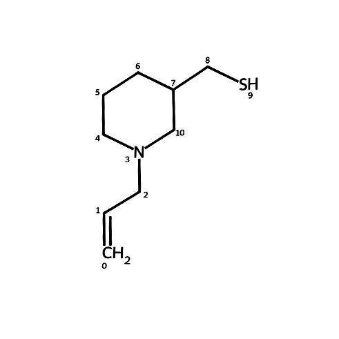 C=CCN1CCCC(CS)C1